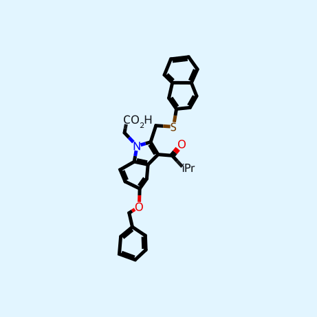 CC(C)C(=O)c1c(CSc2ccc3ccccc3c2)n(CC(=O)O)c2ccc(OCc3ccccc3)cc12